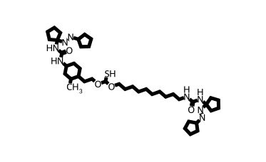 CC1CC(NC(=O)NC2(N=NC3CCCC3)CCCC2)CCC1CCOC(S)OCCCCCCCCCCNC(=O)NC1(N=NC2CCCC2)CCCC1